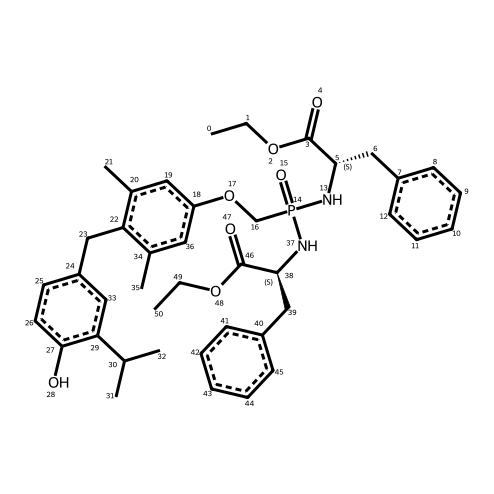 CCOC(=O)[C@H](Cc1ccccc1)NP(=O)(COc1cc(C)c(Cc2ccc(O)c(C(C)C)c2)c(C)c1)N[C@@H](Cc1ccccc1)C(=O)OCC